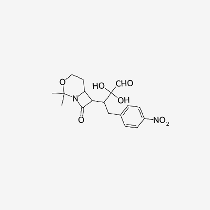 CC1(C)OCCC2C(C(Cc3ccc([N+](=O)[O-])cc3)C(O)(O)C=O)C(=O)N21